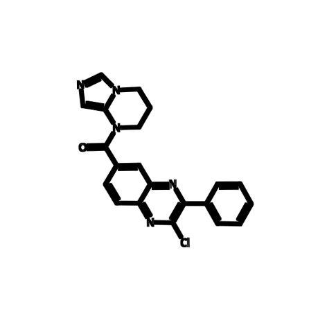 O=C(c1ccc2nc(Cl)c(-c3ccccc3)nc2c1)N1CCCn2cncc21